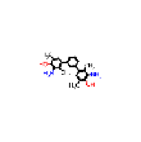 Cc1cc(-c2cccc(-c3cc(C)c(O)c(N)c3C)c2)c(C)c(N)c1O